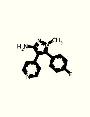 Cn1nc(N)c(-c2ccncc2)c1-c1ccc(F)cc1